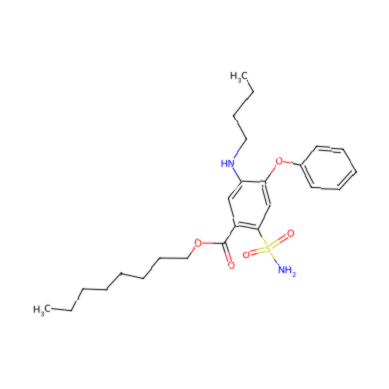 CCCCCCCCOC(=O)c1cc(NCCCC)c(Oc2ccccc2)cc1S(N)(=O)=O